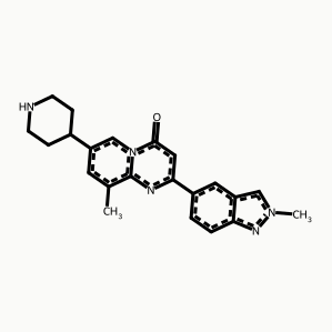 Cc1cc(C2CCNCC2)cn2c(=O)cc(-c3ccc4nn(C)cc4c3)nc12